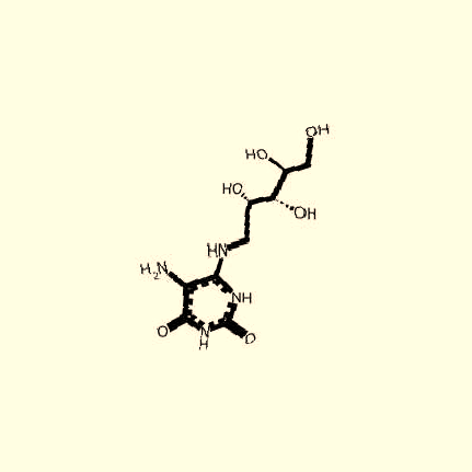 Nc1c(NC[C@H](O)[C@@H](O)[C@@H](O)CO)[nH]c(=O)[nH]c1=O